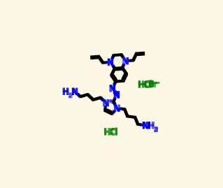 C=CCN1CCN(CC=C)c2cc(/N=N/c3n(CCCCN)cc[n+]3CCCCN)ccc21.Cl.Cl.[Br-]